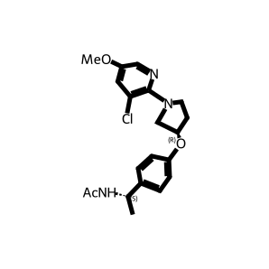 COc1cnc(N2CC[C@@H](Oc3ccc([C@H](C)NC(C)=O)cc3)C2)c(Cl)c1